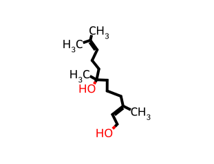 CC(C)=CCCC(C)(O)CCCC(C)=CCO